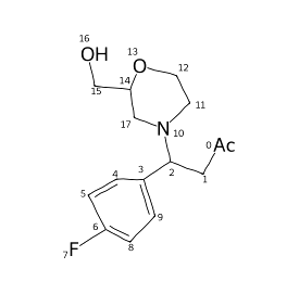 CC(=O)CC(c1ccc(F)cc1)N1CCOC(CO)C1